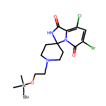 CC(C)(C)[Si](C)(C)OCCN1CCC2(CC1)NC(=O)c1c(Cl)cc(Br)c(=O)n12